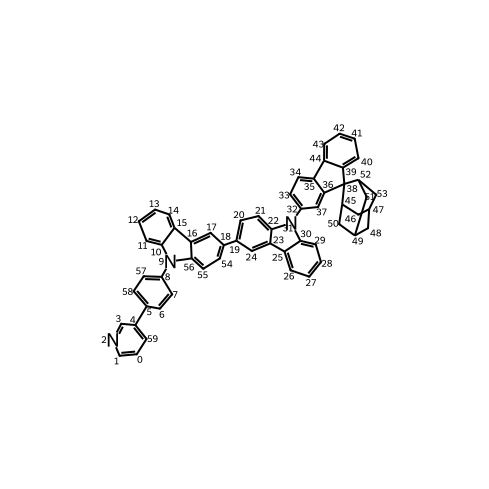 c1cncc(-c2ccc(-n3c4ccccc4c4cc(-c5ccc6c(c5)c5ccccc5n6-c5ccc6c(c5)C5(c7ccccc7-6)C6CC7CC(C6)CC5C7)ccc43)cc2)c1